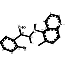 Cc1ccc2ncccc2c1N(C)C(C)C(C=O)c1ccccc1Br